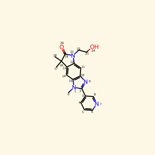 Cn1c(-c2cccnc2)nc2cc3c(cc21)C(C)(C)C(=O)N3CCO